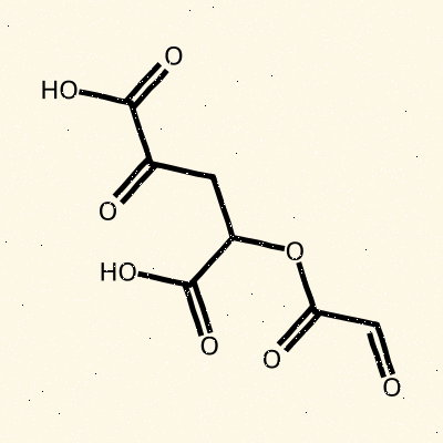 O=CC(=O)OC(CC(=O)C(=O)O)C(=O)O